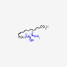 CCCCCCCC/C=C\CCCCCCCC(=O)O.N=C(N)NN